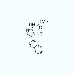 COC(=O)NC1=NCC(c2ccc3ccccc3c2)N1C(C)C